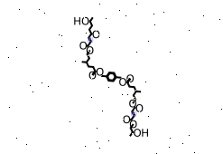 CC(O)CCC(=O)/C=C/C(=O)OCCC(C)CCC(=O)OCc1ccc(COC(=O)CCC(C)CCOC(=O)/C=C/C(=O)OCC(C)O)cc1